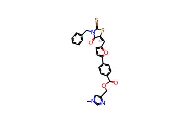 Cn1cnc(COC(=O)c2ccc(-c3ccc(/C=C4/SC(=S)N(Cc5ccccc5)C4=O)o3)cc2)c1